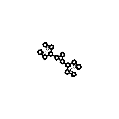 c1ccc2c(c1)oc1c(-c3cc(-c4ccc5c6ccc(-c7cc(-c8cccc9c8oc8ccccc89)cc(-c8cccc9c8oc8ccccc89)c7)cc6c6ccccc6c5c4)cc(-c4cccc5c4oc4ccccc45)c3)cccc12